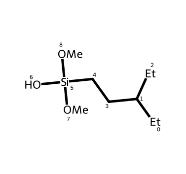 CCC(CC)CC[Si](O)(OC)OC